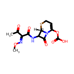 CON=C(C(C)=O)C(=O)NC1C(=O)N2C(OC(=O)O)=CCS[C@@H]12